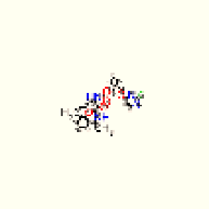 CCCC[C@H](NC(=O)OCC1(COc2ccnc(Cl)n2)CCC1)C(=O)C(=O)N[C@H](C)c1ccccc1